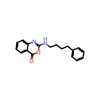 O=c1oc(NCCCCc2ccccc2)nc2ccccc12